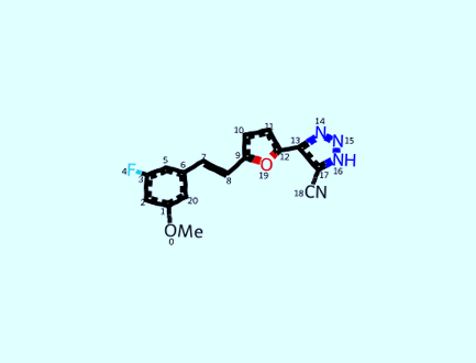 COc1cc(F)cc(/C=C/c2ccc(-c3nn[nH]c3C#N)o2)c1